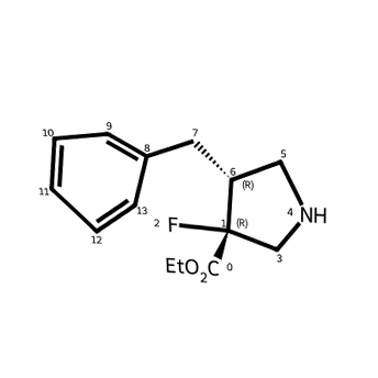 CCOC(=O)[C@]1(F)CNC[C@H]1Cc1ccccc1